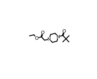 CCOC(=O)CN1CCN(C(=O)C(C)(C)C)CC1